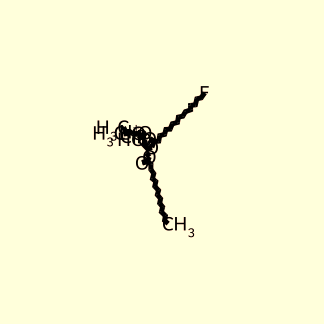 CCCCCCCCCCCCCCCC(=O)OC[C@H](COP(=O)(O)OCC[N+](C)(C)C)OC(=O)CCCCCCCCCCCCCCCF